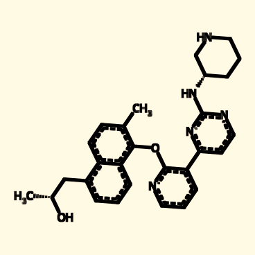 Cc1ccc2c(C[C@@H](C)O)cccc2c1Oc1ncccc1-c1ccnc(N[C@H]2CCCNC2)n1